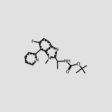 CC(NC(=O)OC(C)(C)C)c1nc2ccc(F)c(-c3ccccn3)c2n1C